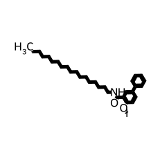 CCCCCCCCCCCCCCCCCCNC(=O)c1cc(-c2ccccc2)ccc1OI